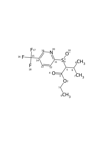 CCOC(=O)C(C(C)C)[S+]([O-])c1ccc(C(F)(F)F)cn1